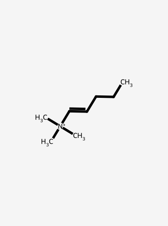 CCCC=C[N+](C)(C)C